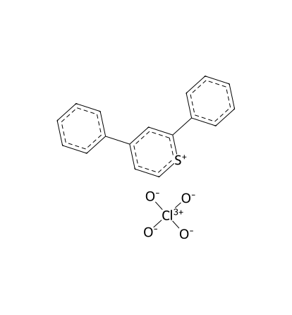 [O-][Cl+3]([O-])([O-])[O-].c1ccc(-c2cc[s+]c(-c3ccccc3)c2)cc1